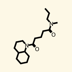 CCCN(C)C(=O)CCCC(=O)N1CCCC2CCCCC21